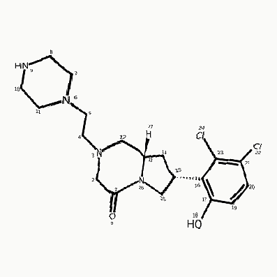 O=C1CN(CCN2CCNCC2)C[C@@H]2C[C@H](c3c(O)ccc(Cl)c3Cl)CN12